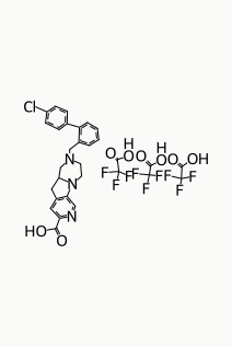 O=C(O)C(F)(F)F.O=C(O)C(F)(F)F.O=C(O)C(F)(F)F.O=C(O)c1cc2c(cn1)N1CCN(Cc3ccccc3-c3ccc(Cl)cc3)CC1C2